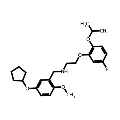 COc1ccc(OC2CCCC2)cc1CNCCOc1cc(F)ccc1OC(C)C